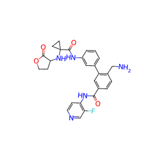 NCc1ccc(C(=O)Nc2ccncc2F)cc1-c1cccc(NC(=O)C2(NC3CCOC3=O)CC2)c1